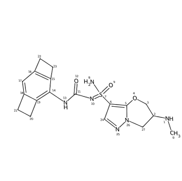 CNC1COc2c(S(N)(=O)=NC(=O)Nc3c4c(cc5c3CC5)CC4)cnn2C1